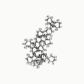 c1ccc(-c2nc(-c3ccccc3)nc(-c3ccc(-c4c(-c5ccccc5-n5c6ccccc6c6cc(-n7c8ccccc8c8ccccc87)ccc65)cccc4-n4c5ccccc5c5cc(-n6c7ccccc7c7ccccc76)ccc54)cc3)n2)cc1